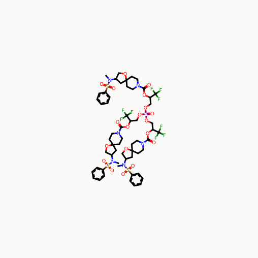 CN(C1COC2(CCN(C(=O)OC(COP(=O)(OCC(OC(=O)N3CCC4(CC3)CC(N(C)S(=O)(=O)c3ccccc3)CO4)C(F)(F)F)OCC(OC(=O)N3CCC4(CC3)CC(N(C)S(=O)(=O)c3ccccc3)CO4)C(F)(F)F)C(F)(F)F)CC2)C1)S(=O)(=O)c1ccccc1